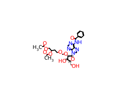 CC(=O)OCC(CCOCO[C@@H]1[C@H](O)[C@@H](CO)O[C@H]1n1cnc2c(NC(=O)c3ccccc3)ncnc21)OC(C)=O